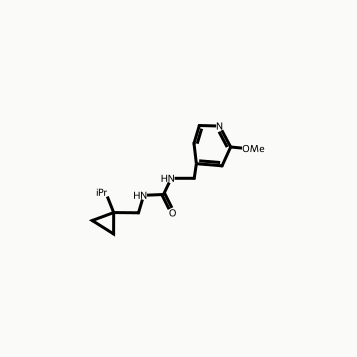 COc1cc(CNC(=O)NCC2(C(C)C)CC2)ccn1